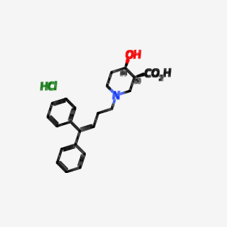 Cl.O=C(O)[C@H]1CN(CCC=C(c2ccccc2)c2ccccc2)CC[C@H]1O